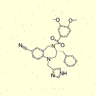 COc1ccc(S(=O)(=O)N2Cc3cc(C#N)ccc3N(Cc3c[nH]cn3)C[C@H]2Cc2ccccc2)cc1OC